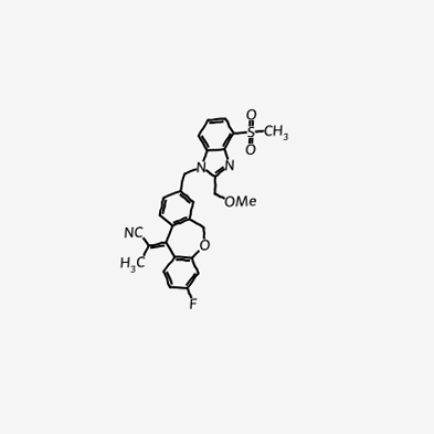 COCc1nc2c(S(C)(=O)=O)cccc2n1Cc1ccc2c(c1)COc1cc(F)ccc1C2=C(C)C#N